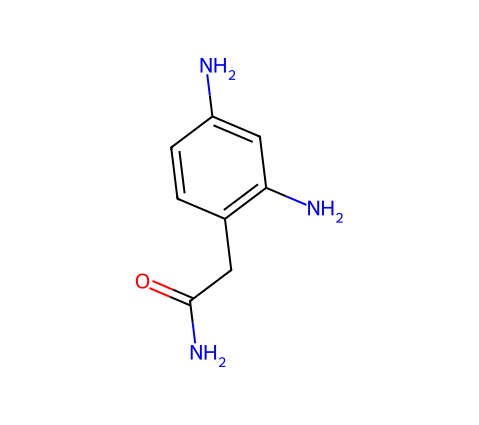 NC(=O)Cc1ccc(N)cc1N